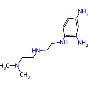 CN(C)CCNCCNc1ccc(N)cc1N